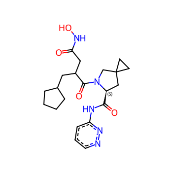 O=C(CC(CC1CCCC1)C(=O)N1CC2(CC2)C[C@H]1C(=O)Nc1cccnn1)NO